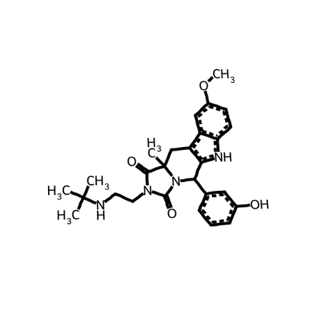 COc1ccc2[nH]c3c(c2c1)CC1(C)C(=O)N(CCNC(C)(C)C)C(=O)N1C3c1cccc(O)c1